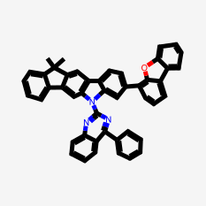 CC1(C)c2ccccc2-c2cc3c(cc21)c1ccc(-c2cccc4c2oc2ccccc24)cc1n3-c1nc(-c2ccccc2)c2ccccc2n1